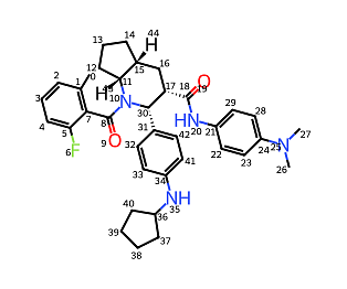 Cc1cccc(F)c1C(=O)N1[C@@H]2CCC[C@@H]2C[C@H](C(=O)Nc2ccc(N(C)C)cc2)[C@@H]1c1ccc(NC2CCCC2)cc1